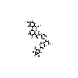 Cc1ncc(-c2c(C(F)F)ccc(Cl)c2F)nc1C(=O)Nc1cnn(C(CO)c2cnc(N3C[C@H]4C[C@H]4C3=O)nc2)c1